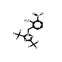 Cc1c(Cn2nc(C(F)(F)F)nc2C(F)(F)F)cccc1[N+](=O)[O-]